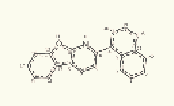 c1ccc2c(-c3ccc4c(n3)oc3ccccc34)ncnc2c1